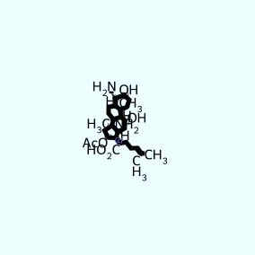 CC(=O)O[C@H]1C[C@@]2(C)[C@@H](C[C@@H](O)[C@H]3[C@@]4(C)CC[C@@H](O)[C@@H](CN)[C@@H]4CC[C@@]32N)/C1=C(\CCC=C(C)C)C(=O)O